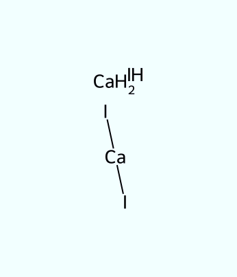 I.[CaH2].[I][Ca][I]